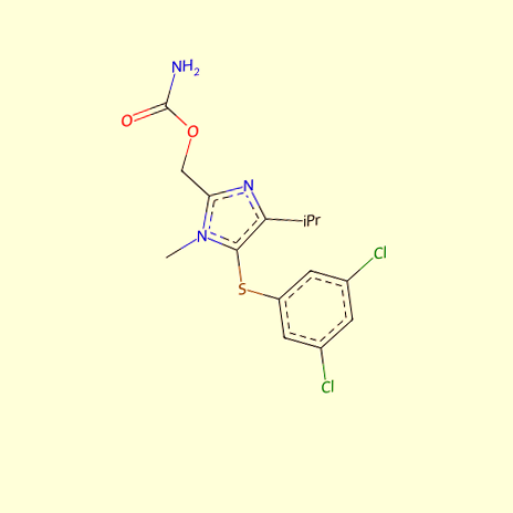 CC(C)c1nc(COC(N)=O)n(C)c1Sc1cc(Cl)cc(Cl)c1